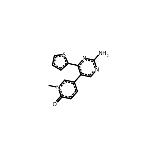 Cn1cc(-c2cnc(N)nc2-c2cccs2)ccc1=O